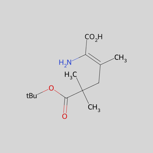 CC(CC(C)(C)C(=O)OC(C)(C)C)=C(N)C(=O)O